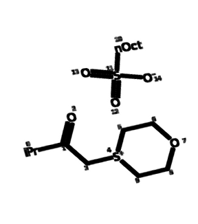 CC(C)C(=O)C[S+]1CCOCC1.CCCCCCCCS(=O)(=O)[O-]